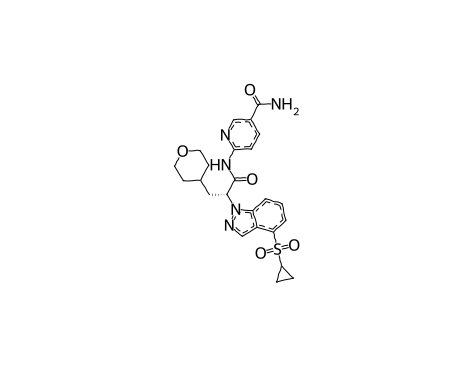 NC(=O)c1ccc(NC(=O)[C@@H](CC2CCOCC2)n2ncc3c(S(=O)(=O)C4CC4)cccc32)nc1